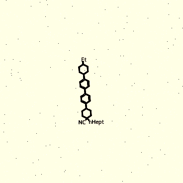 CCCCCCCC1(C#N)CCC(c2ccc(-c3ccc(C4CCC(CC)CC4)cc3)cc2)CC1